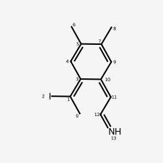 C/C(I)=c1/cc(C)c(C)c/c1=C/C=N